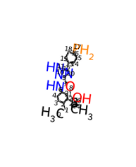 CCc1ccc(NC(=O)c2n[nH]c(-c3ccc(P)cc3)n2)cc1B(C)O